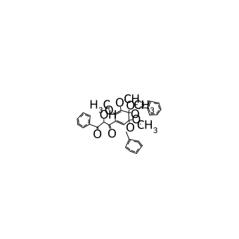 COC1=C(OC)C(OC)(OCc2ccccc2)C(OC)(OCc2ccccc2)C=C1C(=O)C(O)C(=O)c1ccccc1